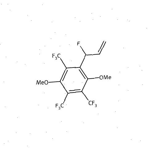 C=CC(F)c1c(OC)c(C(F)(F)F)c(C(F)(F)F)c(OC)c1C(F)(F)F